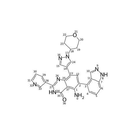 Nc1c(-c2cccc3[nH]ncc23)cc(-c2cnn(C3CCOCC3)c2)c2nc(-c3cccnc3)[nH]c(=O)c12